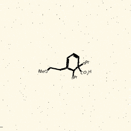 CCCC1C(CCOC)=CC=CC1(CCC)C(=O)O